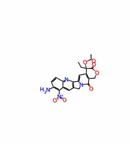 CCC1(OC(C)=O)C(=O)OCc2c1cc1n(c2=O)Cc2cc3c([N+](=O)[O-])c(N)ccc3nc2-1